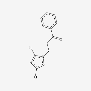 O=C(CCn1cc(Cl)nc1Cl)c1ccccc1